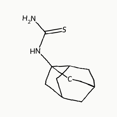 NC(=S)NC12CC3CC(CC1C3)C2